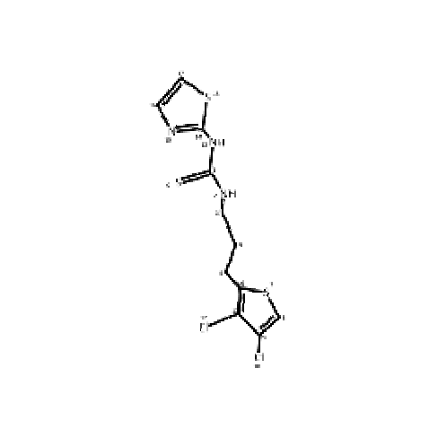 S=C(NCCCc1scc(Cl)c1Cl)Nc1nccs1